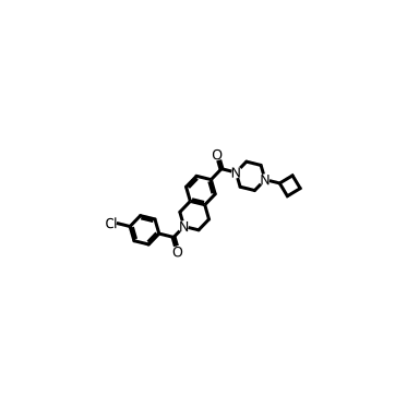 O=C(c1ccc2c(c1)CCN(C(=O)c1ccc(Cl)cc1)C2)N1CCN(C2CCC2)CC1